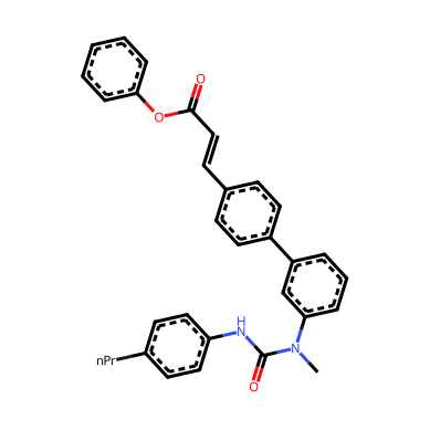 CCCc1ccc(NC(=O)N(C)c2cccc(-c3ccc(C=CC(=O)Oc4ccccc4)cc3)c2)cc1